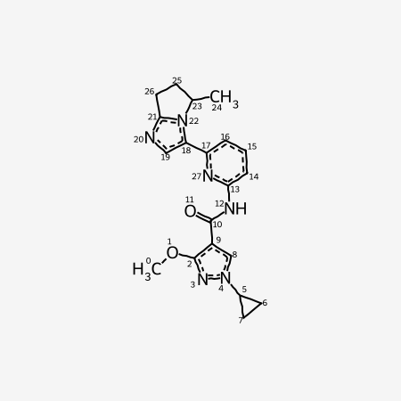 COc1nn(C2CC2)cc1C(=O)Nc1cccc(-c2cnc3n2C(C)CC3)n1